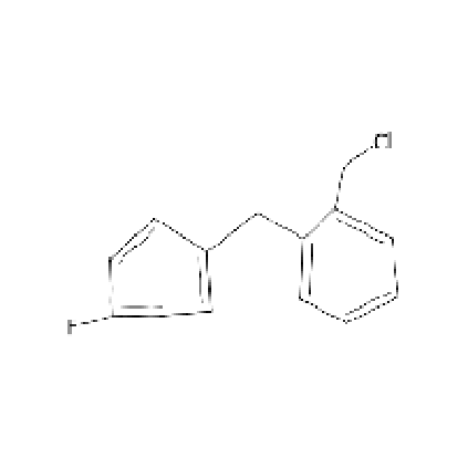 Fc1ccc(Cc2ccccc2CCl)cc1